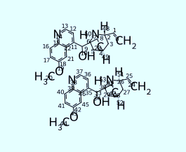 C=C[C@@H]1C[C@H]2CCN1[C@H](C(O)c1ccnc3ccc(OC)cc13)C2.C=C[C@H]1C[C@H]2CCN1[C@H]([C@@H](O)c1ccnc3ccc(OC)cc13)C2